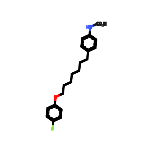 O=C(O)Nc1ccc(CCCCCCCOc2ccc(F)cc2)cc1